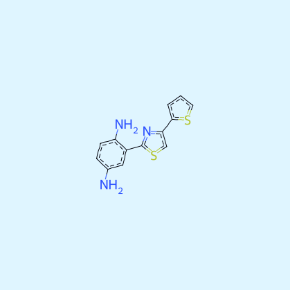 Nc1ccc(N)c(-c2nc(-c3cccs3)cs2)c1